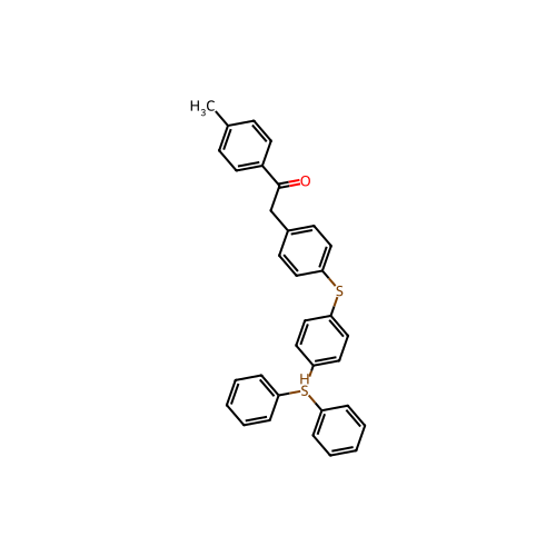 Cc1ccc(C(=O)Cc2ccc(Sc3ccc([SH](c4ccccc4)c4ccccc4)cc3)cc2)cc1